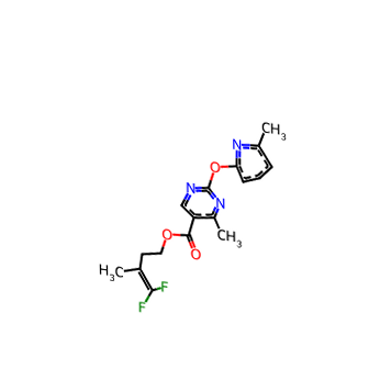 CC(CCOC(=O)c1cnc(Oc2cccc(C)n2)nc1C)=C(F)F